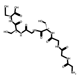 NCC(=O)NCC(=O)NCC(=O)N[C@@H](CO)C(=O)NCC(=O)N[C@@H](CO)C(=O)N[C@@H](CO)C(=O)O